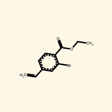 C=Cc1ccc(C(=O)OCC)c(Br)c1